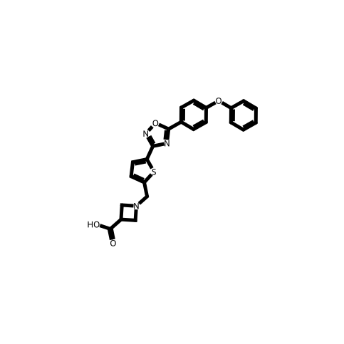 O=C(O)C1CN(Cc2ccc(-c3noc(-c4ccc(Oc5ccccc5)cc4)n3)s2)C1